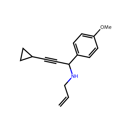 C=CCNC(C#CC1CC1)c1ccc(OC)cc1